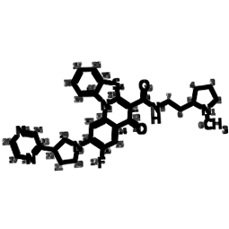 CN1CCCC1CCNC(=O)c1c(=O)c2cc(F)c(N3CCC(c4cnccn4)C3)cc2n2c1sc1ccccc12